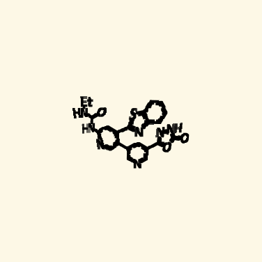 CCNC(=O)Nc1cc(-c2nc3ccccc3s2)c(-c2cncc(-c3n[nH]c(=O)o3)c2)cn1